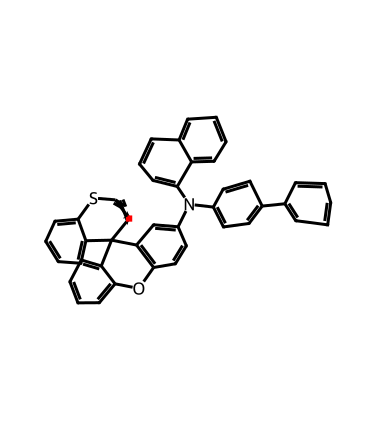 c1ccc(-c2ccc(N(c3ccc4c(c3)C3(c5ccccc5O4)c4ccccc4Sc4ccccc43)c3cccc4ccccc34)cc2)cc1